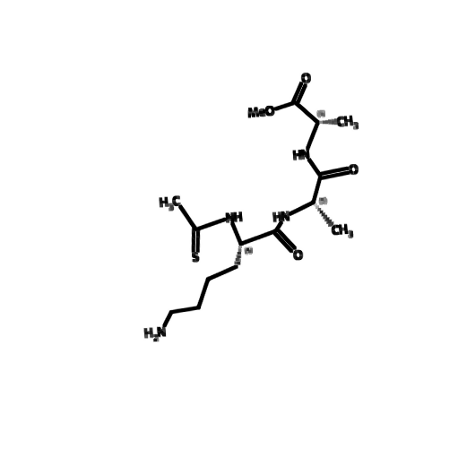 COC(=O)[C@H](C)NC(=O)[C@H](C)NC(=O)[C@H](CCCCN)NC(C)=S